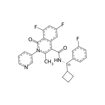 Cc1c(C(=O)N[C@H](c2cccc(F)c2)C2CCC2)c2cc(F)cc(F)c2c(=O)n1-c1cccnc1